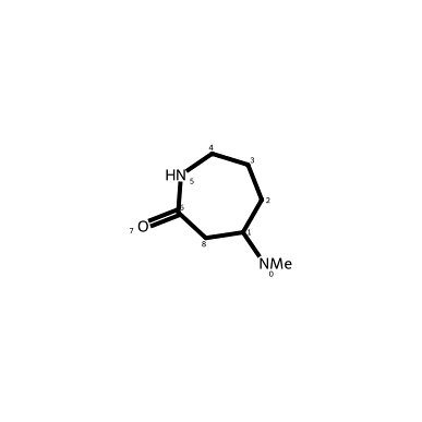 CNC1CCCNC(=O)C1